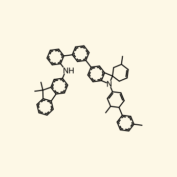 Cc1cccc(C2C=CC(N3c4ccc(-c5cccc(-c6ccccc6Nc6ccc7c(c6)C(C)(C)c6ccccc6-7)c5)cc4C34CC=CC(C)C4)=CC2C)c1